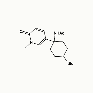 CC(=O)NC1(c2ccc(=O)n(C)c2)CCC(C(C)(C)C)CC1